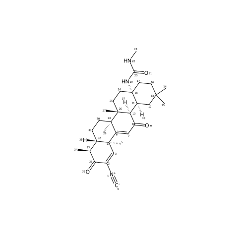 [C-]#[N+]C1=C[C@]2(C)C3=CC(=O)[C@@H]4[C@@H]5CC(C)(C)CC[C@]5(NC(=O)NC)CC[C@@]4(C)[C@]3(C)CC[C@H]2[C@H](C)C1=O